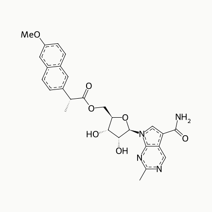 COc1ccc2cc([C@@H](C)C(=O)OC[C@H]3O[C@@H](n4cc(C(N)=O)c5cnc(C)nc54)[C@H](O)[C@@H]3O)ccc2c1